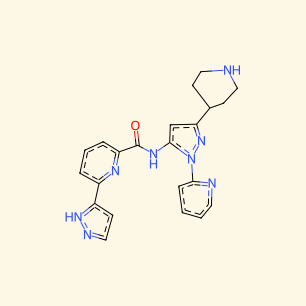 O=C(Nc1cc(C2CCNCC2)nn1-c1ccccn1)c1cccc(-c2ccn[nH]2)n1